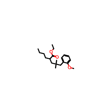 CCCCC(CC(C)(C)Cc1ccccc1OC)C(=O)OCC